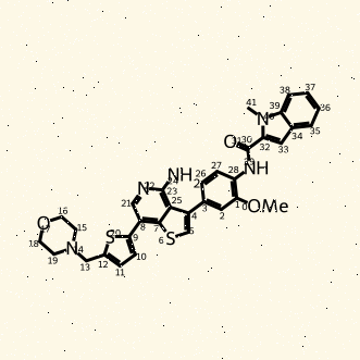 COc1cc(-c2csc3c(-c4ccc(CN5CCOCC5)s4)cnc(N)c23)ccc1NC(=O)c1cc2ccccc2n1C